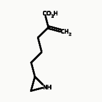 C=C(CCCC1CN1)C(=O)O